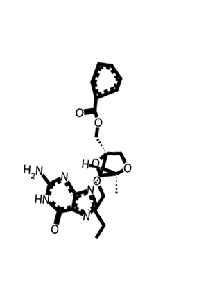 CCCCO[C@@H]1[C@]2(COC(=O)c3ccccc3)CO[C@@]1(C)[C@H](n1cnc3c(=O)[nH]c(N)nc31)O2